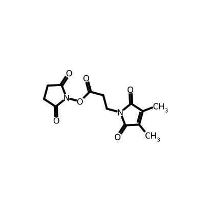 CC1=C(C)C(=O)N(CCC(=O)ON2C(=O)CCC2=O)C1=O